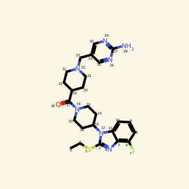 CCSc1nc2c(F)cccc2n1C1CCN(C(=O)C2CCN(Cc3cnc(N)nc3)CC2)CC1